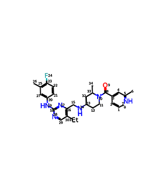 C/C=C\C(=C/C(C)=N)C(=O)N1CC[C@@H](NCc2nc(Nc3ccc(F)c(C)c3)ncc2CC)C[C@H]1C